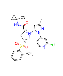 Cc1cc(N2C[C@H](S(=O)(=O)c3ccccc3C(F)(F)F)C[C@H]2C(=O)NC2(C#N)CC2)n(-c2ccnc(Cl)c2)n1